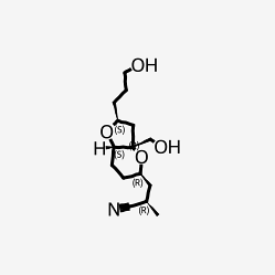 C[C@@H](C#N)C[C@H]1CC[C@@H]2O[C@@H](CCCO)C[C@]2(CO)O1